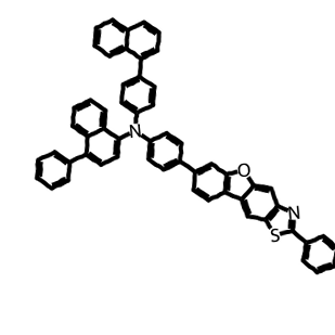 c1ccc(-c2nc3cc4oc5cc(-c6ccc(N(c7ccc(-c8cccc9ccccc89)cc7)c7ccc(-c8ccccc8)c8ccccc78)cc6)ccc5c4cc3s2)cc1